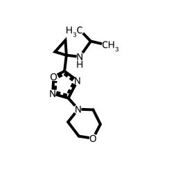 CC(C)NC1(c2nc(N3CCOCC3)no2)CC1